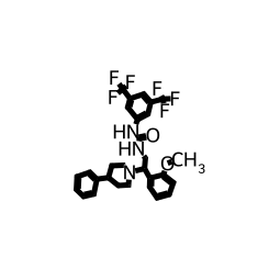 COc1ccccc1C(CNC(=O)Nc1cc(C(F)(F)F)cc(C(F)(F)F)c1)N1CCC(c2ccccc2)CC1